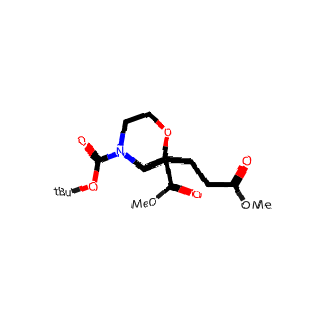 COC(=O)CCC1(C(=O)OC)CN(C(=O)OC(C)(C)C)CCO1